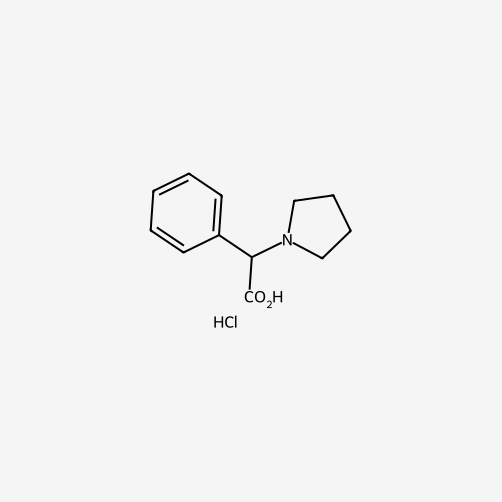 Cl.O=C(O)C(c1ccccc1)N1CCCC1